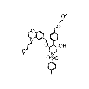 COCCCN1CCOc2ccc(CO[C@H]3CN(S(=O)(=O)c4ccc(C)cc4)C[C@@H](O)[C@@H]3c3ccc(COCCOC)cc3)cc21